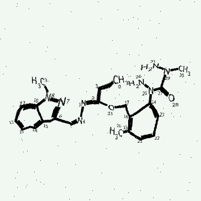 CCC(=N/N=C\c1nn(C)c2ccccc12)OCc1c(C)cccc1N(N)C(=O)N(C)N